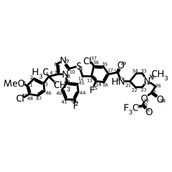 COc1cc(C(C)(C)c2cnc(SCc3c(F)cc(C(=O)NC4CC[N+](C)(CC(=O)OC(=O)C(F)(F)F)CC4)cc3Cl)n2-c2ccc(F)cc2)ccc1Cl